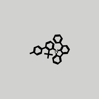 Cc1ccc(-c2cccc(-n3c4ccccc4c4cccc(-c5ccccc5)c43)c2C(C)(C)C)cc1